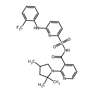 CC1CN(c2ncccc2C(=O)NS(=O)(=O)c2cccc(Nc3ccccc3C(F)(F)F)n2)C(C)(C)C1